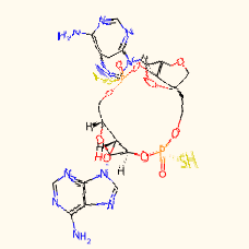 Nc1ncnc2c1ncn2C1O[C@]23CCO[P@](=O)(S)O[C@@H]4[C@H](O)[C@@H](CO[P@@](=O)(S)O[C@H]2C1OC3)O[C@H]4n1cnc2c(N)ncnc21